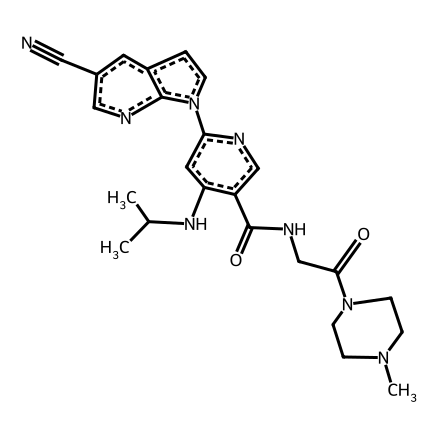 CC(C)Nc1cc(-n2ccc3cc(C#N)cnc32)ncc1C(=O)NCC(=O)N1CCN(C)CC1